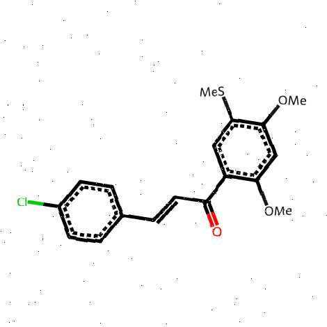 COc1cc(OC)c(C(=O)C=Cc2ccc(Cl)cc2)cc1SC